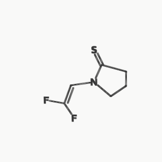 FC(F)=CN1CCCC1=S